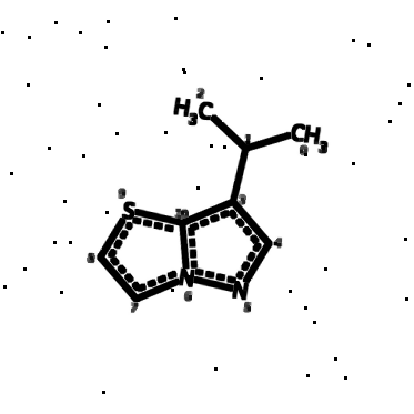 CC(C)c1cnn2ccsc12